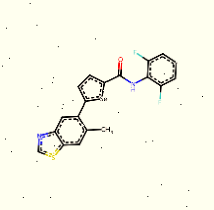 Cc1cc2scnc2cc1-c1ccc(C(=O)Nc2c(F)cccc2F)[se]1